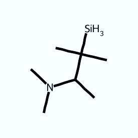 CC(N(C)C)C(C)(C)[SiH3]